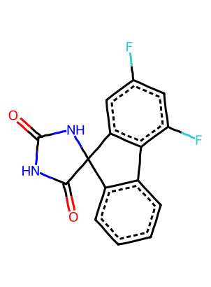 O=C1NC(=O)C2(N1)c1ccccc1-c1c(F)cc(F)cc12